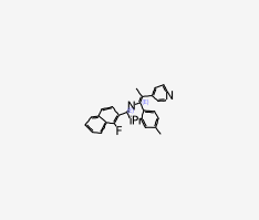 C/C(=C(\N=C(\c1ccc2ccccc2c1F)C(C)C)c1ccc(C)cc1)c1ccncc1